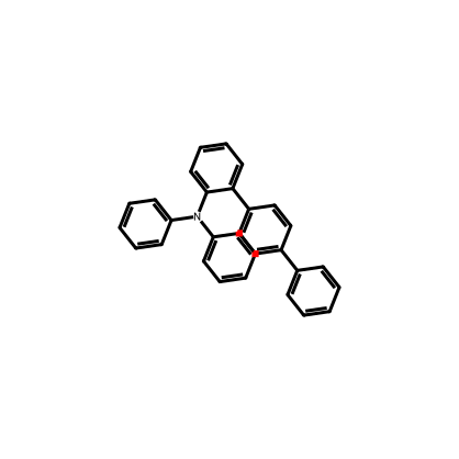 c1ccc(-c2ccc(-c3ccccc3N(c3ccccc3)c3ccccc3)cc2)cc1